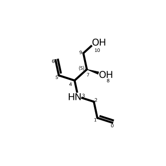 C=CCNC(C=C)[C@H](O)CO